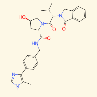 Cc1c(-c2ccc(CNC(=O)[C@@H]3C[C@@H](O)CN3C(=O)[C@H](C(C)C)N3Cc4ccccc4C3=O)cc2)ncn1C